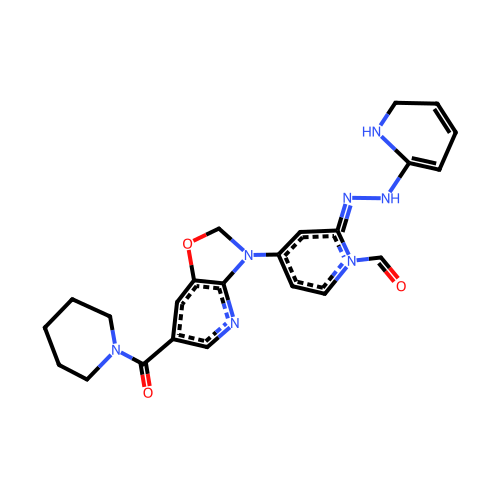 O=Cn1ccc(N2COc3cc(C(=O)N4CCCCC4)cnc32)c/c1=N/NC1=CC=CCN1